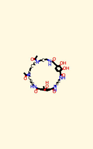 CC(=O)N1CCCCN(C(C)=O)CCCNC(=O)c2ccc(c(O)c2O)C(=O)NCCNC(=O)c2ccc(c(C)c2O)C(=O)NCCC1